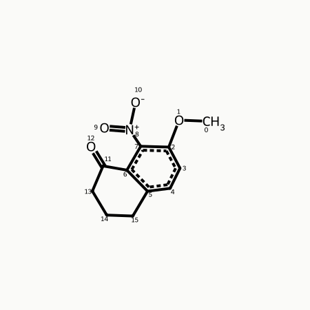 COc1ccc2c(c1[N+](=O)[O-])C(=O)CCC2